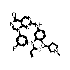 C=CC(=O)Nc1cc(Nc2ncc3c(=O)ncn(-c4cccc(F)c4)c3n2)ccc1OC1CCN(C)C1